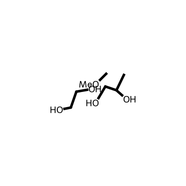 CC(O)CO.COC.OCCO